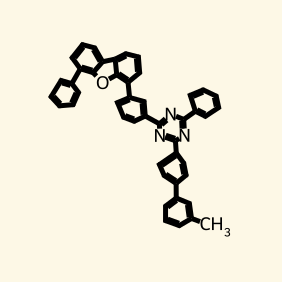 Cc1cccc(-c2ccc(-c3nc(-c4ccccc4)nc(-c4cccc(-c5cccc6c5oc5c(-c7ccccc7)cccc56)c4)n3)cc2)c1